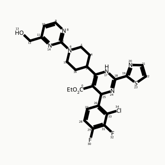 CCOC(=O)C1=C(C2CCN(c3nccc(CO)n3)CC2)NC(c2nccs2)=NC1c1ccc(F)c(F)c1Cl